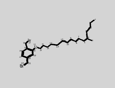 CCCCC(C)CCCCCCCCCCCOc1cc(CBr)ccc1CBr